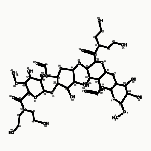 COC1OC(OC=O)C(OC2OC(C(=O)N(CCO)CCO)C(OC3OC(OC=O)C(OC4OC(C(=O)N(CCO)CCO)C(OC)C(O)C4O)C(O)C3O)C(O)C2O)C(O)C1O